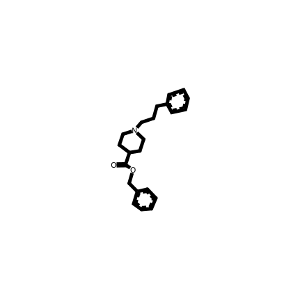 O=C(OCc1ccccc1)C1CCN(CCCc2ccccc2)CC1